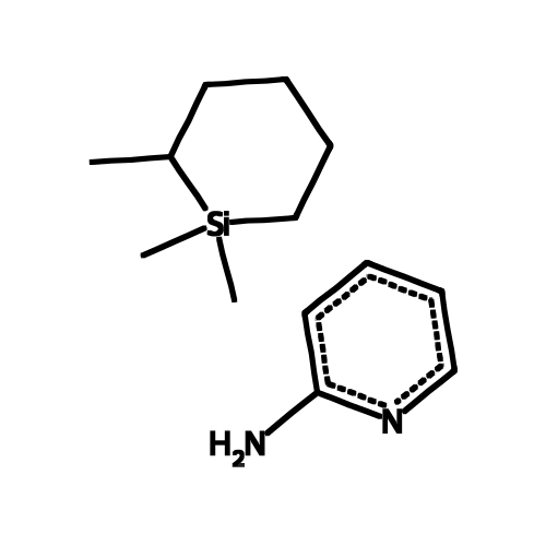 CC1CCCC[Si]1(C)C.Nc1ccccn1